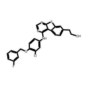 OCCc1ccc2c(c1)sc1ncnc(Nc3ccc(OCc4cccc(F)c4)c(Cl)c3)c12